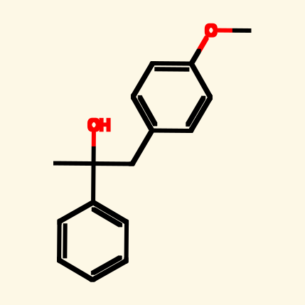 COc1ccc(CC(C)(O)c2ccccc2)cc1